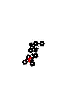 c1ccc(-c2ccccc2N(c2ccc3c(c2)C2(c4ccccc4Oc4c(-c5ccccc5)cccc42)c2ccccc2-3)c2ccc3c4ccccc4n(-c4ccccc4)c3c2)cc1